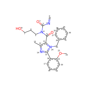 C=NC(=O)N(CCCO)C(=O)c1c(C)nc(-c2ccccc2OC)n1Cc1ccccc1